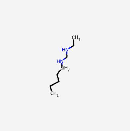 CCCC[SiH2]NCNCC